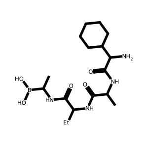 CCC(NC(=O)C(C)NC(=O)C(N)C1CCCCC1)C(=O)NC(C)B(O)O